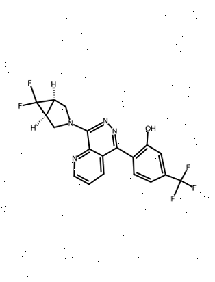 Oc1cc(C(F)(F)F)ccc1-c1nnc(N2C[C@@H]3[C@H](C2)C3(F)F)c2ncccc12